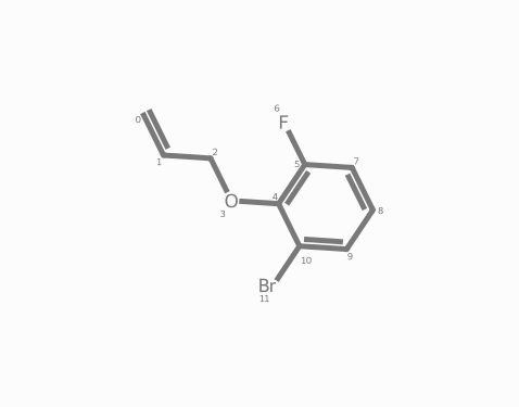 C=CCOc1c(F)cccc1Br